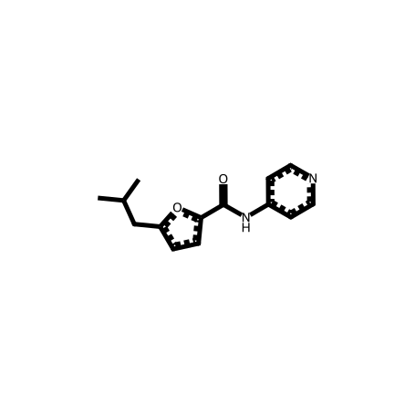 CC(C)Cc1ccc(C(=O)Nc2ccncc2)o1